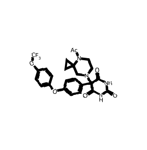 CC(=O)N1CCN(C2(c3ccc(Oc4ccc(OC(F)(F)F)cc4)cc3)C(=O)NC(=O)NC2=O)CC12CC2